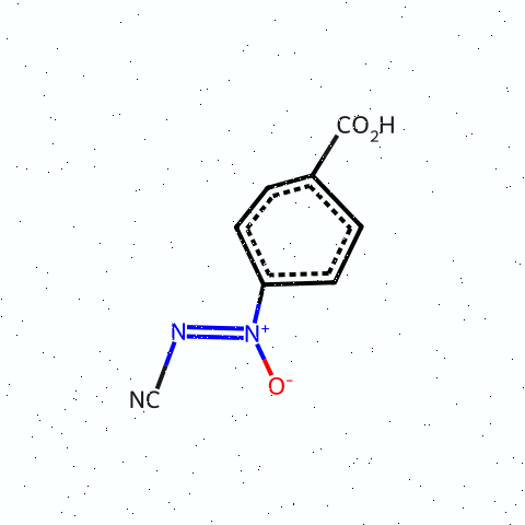 N#CN=[N+]([O-])c1ccc(C(=O)O)cc1